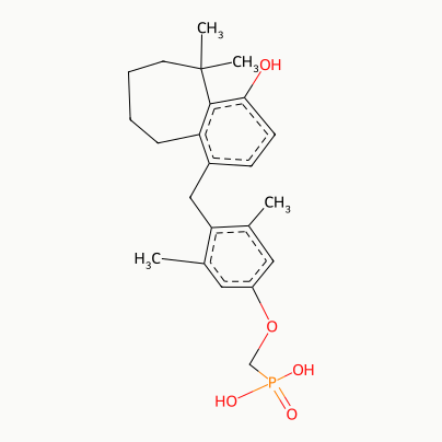 Cc1cc(OCP(=O)(O)O)cc(C)c1Cc1ccc(O)c2c1CCCCC2(C)C